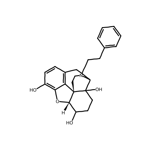 Oc1ccc2c3c1O[C@H]1C(O)CCC4(O)C(C2)N(CCc2ccccc2)CC[C@]314